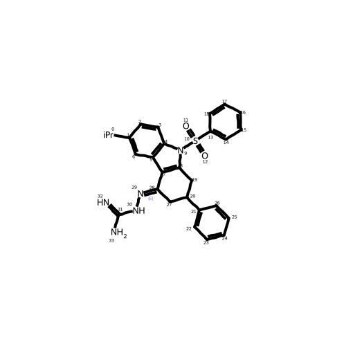 CC(C)c1ccc2c(c1)c1c(n2S(=O)(=O)c2ccccc2)CC(c2ccccc2)C/C1=N\NC(=N)N